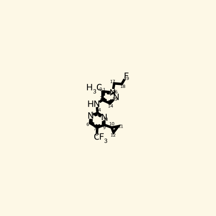 Cc1c(Nc2ncc(C(F)(F)F)c(C3CC3)n2)cnn1CCF